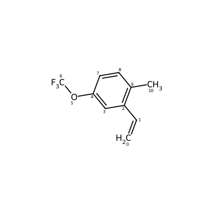 C=Cc1cc(OC(F)(F)F)ccc1C